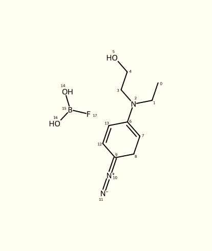 CCN(CCO)C1=CCC(=[N+]=[N-])C=C1.OB(O)F